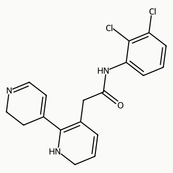 O=C(CC1=C(C2=CC=NCC2)NCC=C1)Nc1cccc(Cl)c1Cl